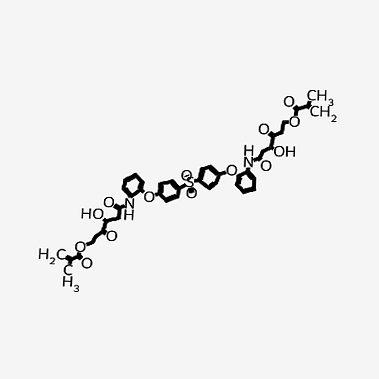 C=C(C)C(=O)OCCC(=O)C(O)CC(=O)Nc1ccccc1Oc1ccc(S(=O)(=O)c2ccc(Oc3ccccc3NC(=O)CC(O)C(=O)CCOC(=O)C(=C)C)cc2)cc1